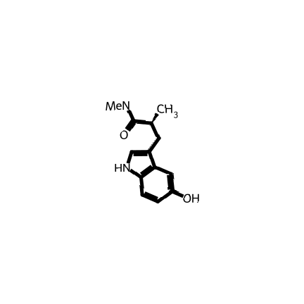 CNC(=O)[C@@H](C)Cc1c[nH]c2ccc(O)cc12